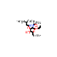 C/C=C\O[C@H]1OC(COC)[C@@H](O)C(OCCC(CCCCCCC)OC)[C@H]1NC(=O)CCCCCCCCCC